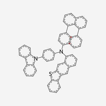 c1ccc(-c2cccc3cccc(-c4ccc(N(c5ccc(-n6c7ccccc7c7ccccc76)cc5)c5cccc6cc7c(cc56)sc5ccccc57)cc4)c23)cc1